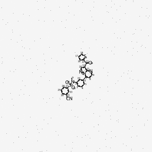 CN(c1cccc(-c2ccnc3c(C(=O)c4cccs4)cnn23)c1)S(=O)(=O)c1cccc(C#N)c1